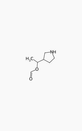 CC(OC=O)C1CCNC1